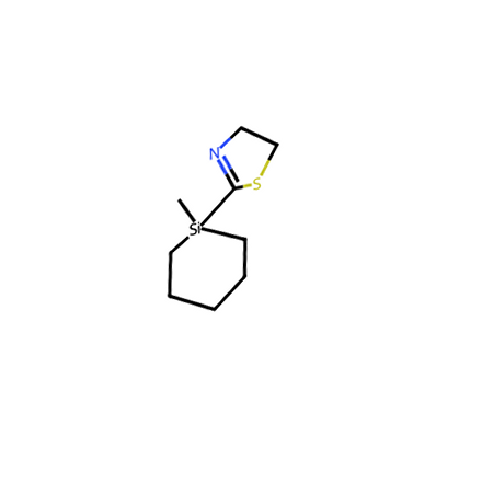 C[Si]1(C2=NCCS2)CCCCC1